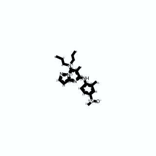 CCCN(CCC)c1c(C)c(Nc2ccc([S+](C)[O-])cc2C)nc2ccnn12